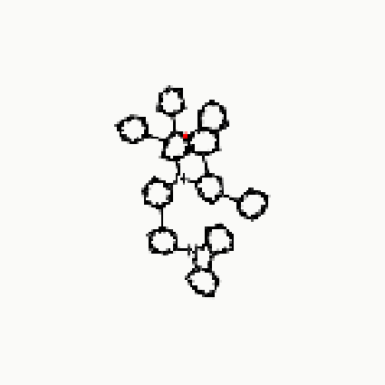 c1ccc(-c2ccc(N(c3cccc(-c4cccc(-n5c6ccccc6c6ccccc65)c4)c3)c3ccc(-c4ccccc4)c(-c4ccccc4)c3)c(-c3ccc4ccccc4c3)c2)cc1